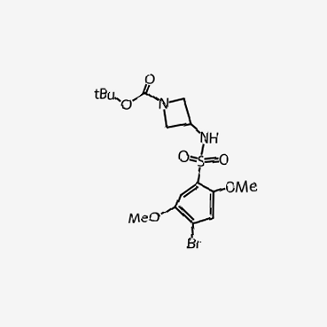 COc1cc(S(=O)(=O)NC2CN(C(=O)OC(C)(C)C)C2)c(OC)cc1Br